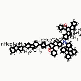 CCCCCCCC1(CCCCCCC)c2ccccc2-c2ccc(-c3ccc4c(c3)C(C)(C)c3cc(-c5ccc(-c6cc7c(c8c6oc6ccccc68)-c6ccc(N(c8ccc9c(c8)C(C)(C)c8c%10c(c%11oc%12ccccc%12c%11c8-9)-c8ccccc8C%10(C)C)c8ccc9c(c8)C8(c%10ccccc%10-c%10ccccc%108)c8ccccc8-9)cc6C7(CCCCCCC)CCCCCCC)cc5)ccc3-4)cc21